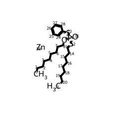 CCCCCCCCCOP(=O)(SCCCCCCCCC)Sc1ccccc1.[Zn]